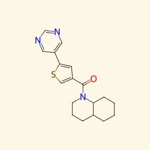 O=C(c1csc(-c2cncnc2)c1)N1CCCC2CCCCC21